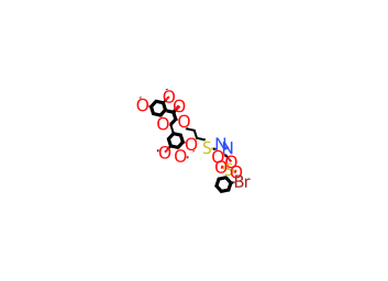 COc1cc(OC)c2c(=O)c(OCCCCSc3nnc(OS(=O)(=O)c4ccccc4Br)o3)c(-c3cc(OC)c(OC)c(OC)c3)oc2c1